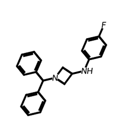 Fc1ccc(NC2CN(C(c3ccccc3)c3ccccc3)C2)cc1